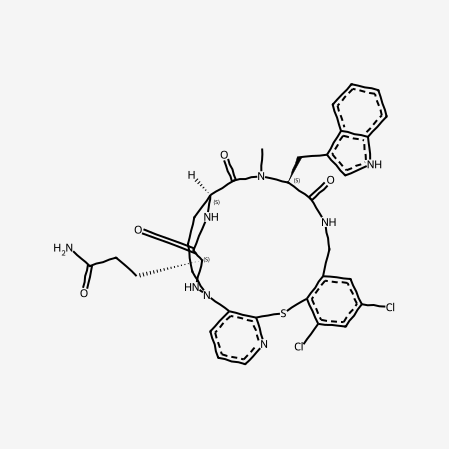 CN1C(=O)[C@@H]2CCCN(N[C@@H](CCC(N)=O)C(=O)N2)c2cccnc2Sc2c(Cl)cc(Cl)cc2CNC(=O)[C@@H]1Cc1c[nH]c2ccccc12